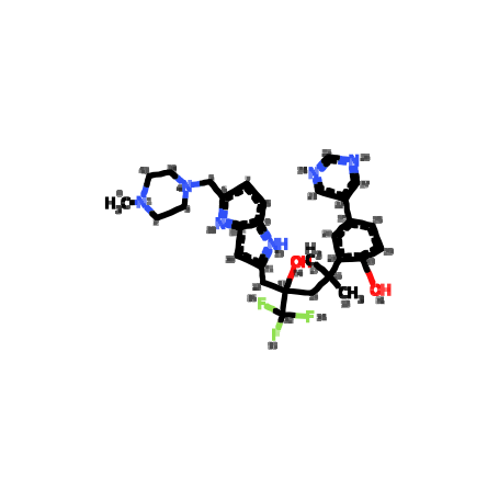 CN1CCN(Cc2ccc3[nH]c(CC(O)(CC(C)(C)c4cc(-c5cncnc5)ccc4O)C(F)(F)F)cc3n2)CC1